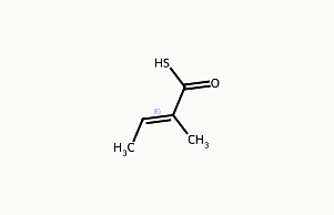 C/C=C(\C)C(=O)S